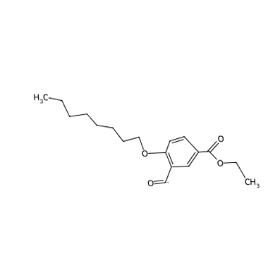 CCCCCCCCOc1ccc(C(=O)OCC)cc1[C]=O